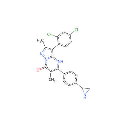 Cc1nn2c(=O)c(C)c(-c3ccc(C4CN4)cc3)[nH]c2c1-c1ccc(Cl)cc1Cl